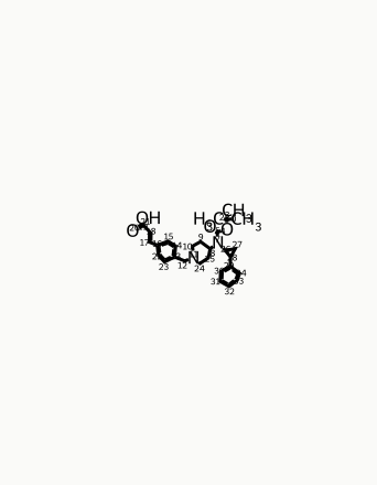 CC(C)(C)OC(=O)N(C1CCN(Cc2ccc(C=CC(=O)O)cc2)CC1)C1CC1c1ccccc1